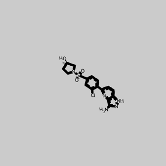 Nc1n[nH]c2ccc(-c3ccc(S(=O)(=O)N4CC[C@H](O)C4)cc3Cl)nc12